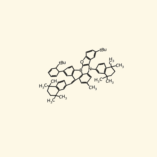 Cc1cc2c3c(c1)N(c1ccc4c(c1)C(C)(C)CCC4(C)C)c1c(oc4ccc(C(C)(C)C)cc14)B3c1ccc(C3C=CC=CC3C(C)(C)C)cc1/C2=C\c1ccc2c(c1)C(C)(C)CCC2(C)C